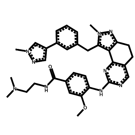 COc1cc(C(=O)NCCN(C)C)ccc1Nc1ncc2c(n1)-c1c(nn(C)c1Cc1cccc(-c3cnn(C)c3)c1)CC2